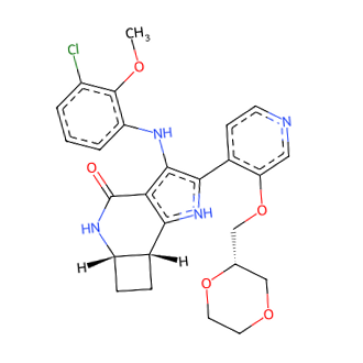 COc1c(Cl)cccc1Nc1c(-c2ccncc2OC[C@@H]2COCCO2)[nH]c2c1C(=O)N[C@H]1CC[C@@H]21